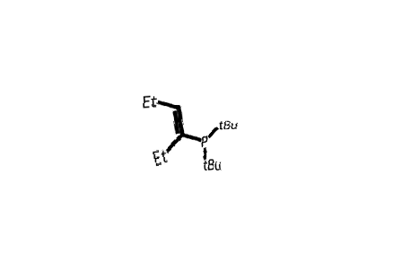 CC/C=C(\CC)P(C(C)(C)C)C(C)(C)C